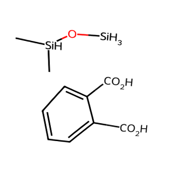 C[SiH](C)O[SiH3].O=C(O)c1ccccc1C(=O)O